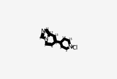 ClN1CCC(c2ccn3cncc3c2)CC1